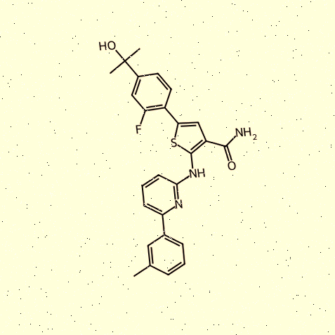 Cc1cccc(-c2cccc(Nc3sc(-c4ccc(C(C)(C)O)cc4F)cc3C(N)=O)n2)c1